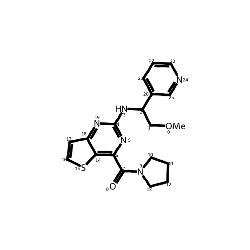 COCC(Nc1nc(C(=O)N2CCCC2)c2sccc2n1)c1cccnc1